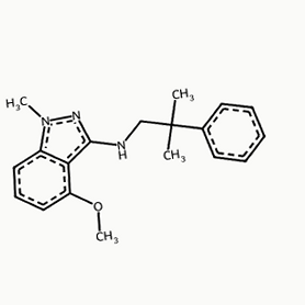 COc1cccc2c1c(NCC(C)(C)c1ccccc1)nn2C